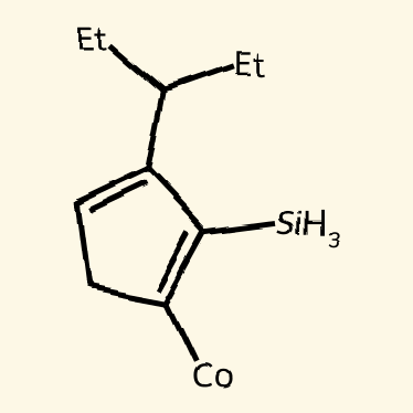 CCC(CC)C1=CC[C]([Co])=C1[SiH3]